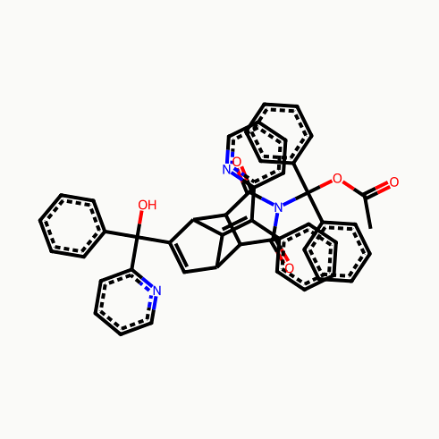 CC(=O)OC(c1ccccc1)(c1ccccc1)N1C(=O)C2C3C=C(C(O)(c4ccccc4)c4ccccn4)C(C3=C(c3ccccc3)c3ccccn3)C2C1=O